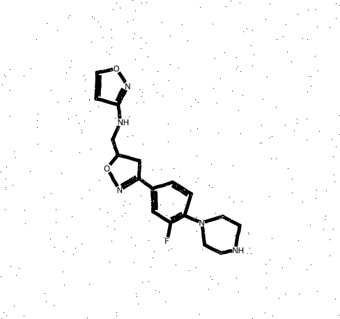 Fc1cc(C2=NOC(CNc3ccon3)C2)ccc1N1CCNCC1